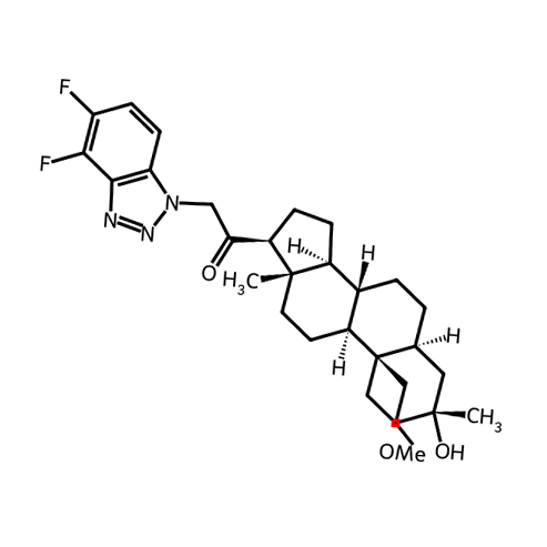 COCC[C@]12CC[C@@](C)(O)C[C@@H]1CC[C@H]1[C@@H]3CC[C@H](C(=O)Cn4nnc5c(F)c(F)ccc54)[C@@]3(C)CC[C@@H]12